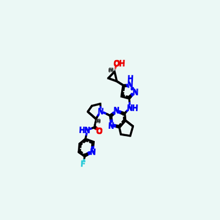 O=C(Nc1ccc(F)nc1)[C@H]1CCCN1c1nc2c(c(Nc3cc(C4C[C@@H]4O)[nH]n3)n1)CCC2